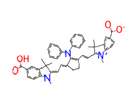 CN1/C(=C/C=C2\CCC(/C=C/C3=[N+](C)c4ccc(C(=O)[O-])cc4C3(C)C)=C2N(c2ccccc2)c2ccccc2)C(C)(C)c2cc(C(=O)O)ccc21